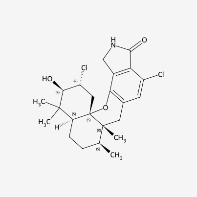 C[C@H]1CC[C@H]2C(C)(C)[C@@H](O)[C@H](Cl)C[C@]23Oc2c(cc(Cl)c4c2CNC4=O)C[C@]13C